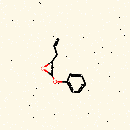 C=CCC1OC1Oc1ccccc1